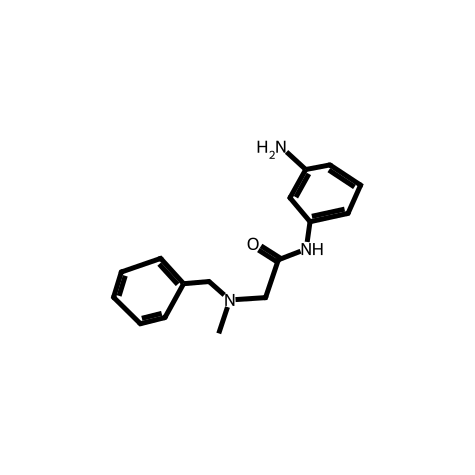 CN(CC(=O)Nc1cccc(N)c1)Cc1ccccc1